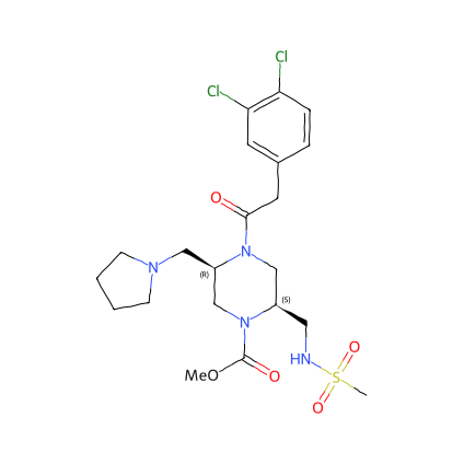 COC(=O)N1C[C@@H](CN2CCCC2)N(C(=O)Cc2ccc(Cl)c(Cl)c2)C[C@H]1CNS(C)(=O)=O